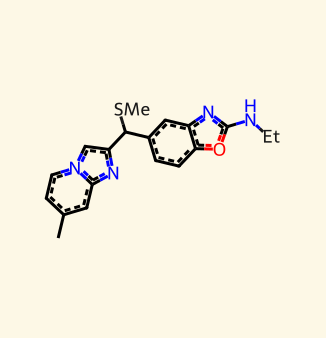 CCNc1nc2cc(C(SC)c3cn4ccc(C)cc4n3)ccc2o1